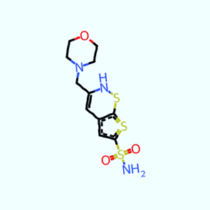 NS(=O)(=O)c1cc2c(s1)SNC(CN1CCOCC1)=C2